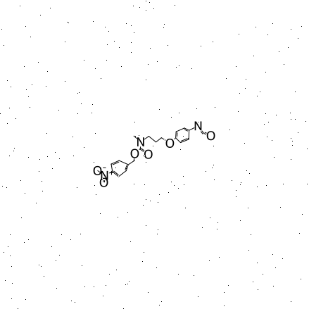 CN(CCCOc1ccc(N=C=O)cc1)C(=O)OCc1ccc([N+](=O)[O-])cc1